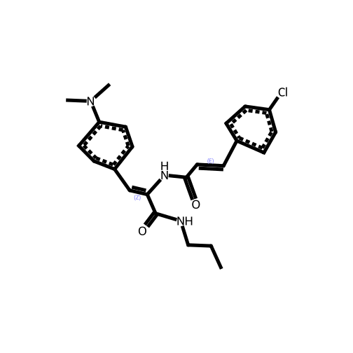 CCCNC(=O)/C(=C/c1ccc(N(C)C)cc1)NC(=O)/C=C/c1ccc(Cl)cc1